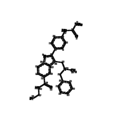 CNC(=O)Nc1ccc(-c2nc3ccc(C(=O)NCC(C)C)cn3c2CN(C)Cc2ccccc2)cc1